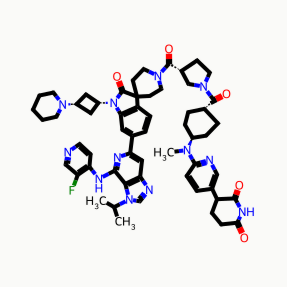 CC(C)n1cnc2cc(-c3ccc4c(c3)N([C@H]3C[C@@H](N5CCCCC5)C3)C(=O)C43CCN(C(=O)[C@@H]4CCN(C(=O)[C@H]5CC[C@H](N(C)c6ccc(C7CCC(=O)NC7=O)cn6)CC5)C4)CC3)nc(Nc3ccncc3F)c21